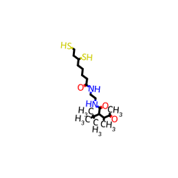 CC(=O)C(C)C(C(=O)NCCNC(=O)CCCCC(S)CCS)C(C)(C)C